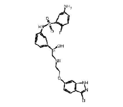 Nc1ccc(F)c(S(=O)(=O)Nc2cccc([C@@H](O)CNCCOc3ccc4c(Cl)n[nH]c4c3)c2)c1